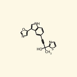 CC(O)(C#Cc1ccc2[nH]cc(-c3cnco3)c2c1)c1nccs1